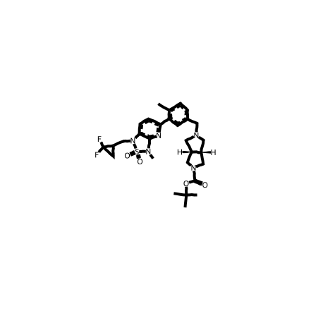 Cc1ccc(CN2C[C@@H]3CN(C(=O)OC(C)(C)C)C[C@@H]3C2)cc1-c1ccc2c(n1)N(C)S(=O)(=O)N2CC1CC1(F)F